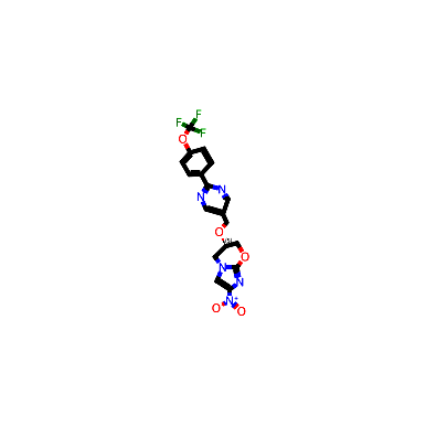 O=[N+]([O-])c1cn2c(n1)OC[C@@H](OCc1cnc(-c3ccc(OC(F)(F)F)cc3)nc1)C2